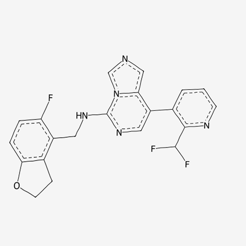 Fc1ccc2c(c1CNc1ncc(-c3cccnc3C(F)F)c3cncn13)CCO2